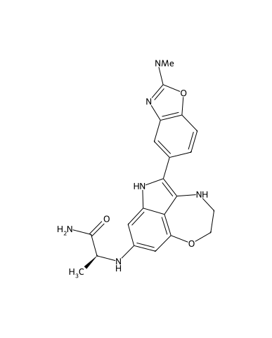 CNc1nc2cc(-c3[nH]c4cc(N[C@@H](C)C(N)=O)cc5c4c3NCCO5)ccc2o1